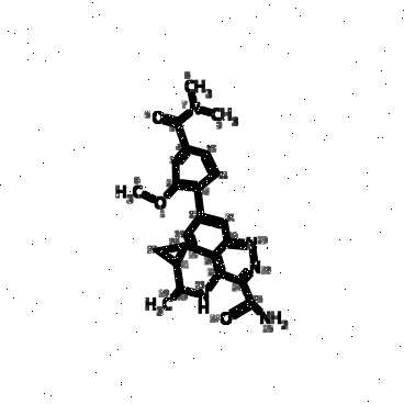 COc1cc(C(=O)N(C)C)ccc1-c1ccc2c(NC(C)C3CC3)c(C(N)=O)nnc2c1